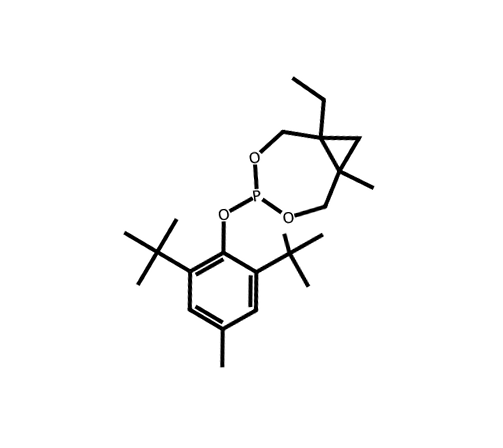 CCC12COP(Oc3c(C(C)(C)C)cc(C)cc3C(C)(C)C)OCC1(C)C2